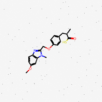 COc1ccc2nc(COc3ccc(CC(C)C(=O)S)cc3)n(C)c2c1